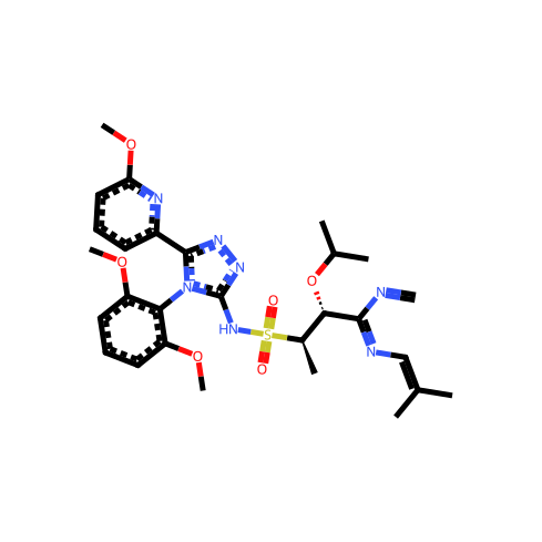 C=N/C(=N\C=C(C)C)[C@@H](OC(C)C)[C@@H](C)S(=O)(=O)Nc1nnc(-c2cccc(OC)n2)n1-c1c(OC)cccc1OC